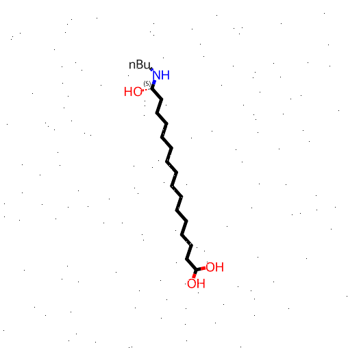 CCCCN[C@@H](O)CCCCCCCCCCCCCCC(O)O